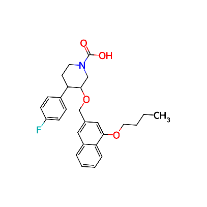 CCCCOc1cc(COC2CN(C(=O)O)CCC2c2ccc(F)cc2)cc2ccccc12